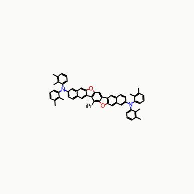 Cc1cccc(N(c2ccc3cc4c(cc3c2)oc2c(C(C)C)c3c(cc24)oc2cc4cc(N(c5cccc(C)c5C)c5cccc(C)c5C)ccc4cc23)c2cccc(C)c2C)c1C